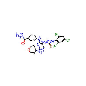 NC(=O)[C@H]1CC[C@H](Nc2nc(NC3CCOCC3)ncc2NC(=S)Nc2c(F)cc(Cl)cc2F)CC1